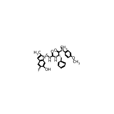 COc1ccc(N(C)C(=O)[C@H](Cc2ccccc2)NC(=O)NSn2c(C)cc3cc(F)c(O)cc32)cc1